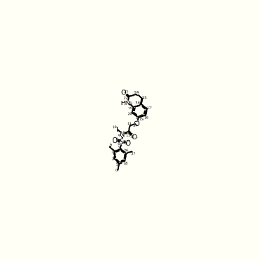 Cc1cc(C)c(S(=O)(=O)N(I)C(=O)COc2ccc3c(c2)NC(=O)CC3)c(C)c1